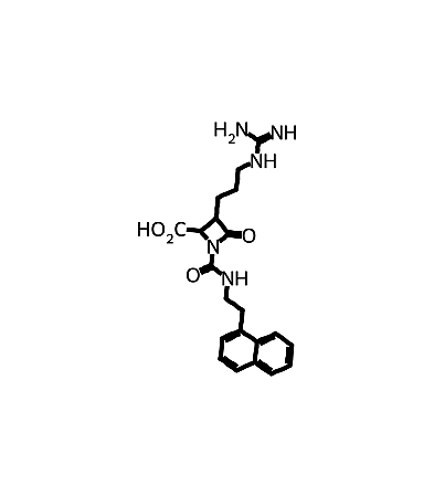 N=C(N)NCCCC1C(=O)N(C(=O)NCCc2cccc3ccccc23)C1C(=O)O